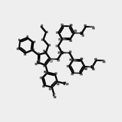 CCCCn1c(-c2ccccc2)nc(-c2ccc(F)c(F)c2)c1CN(Cc1cccc(OCC)c1)Cc1cccc(OCC)c1